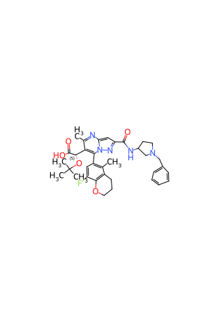 Cc1nc2cc(C(=O)NC3CCN(Cc4ccccc4)C3)nn2c(-c2cc(F)c3c(c2C)CCCO3)c1[C@H](OC(C)(C)C)C(=O)O